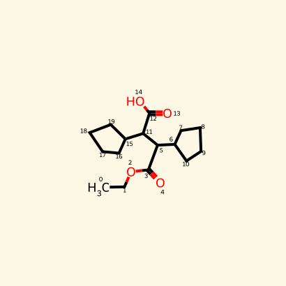 CCOC(=O)C(C1CCCC1)C(C(=O)O)C1CCCC1